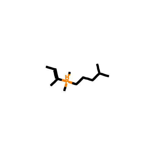 C/C=C(\C)[PH](C)(C)CCCC(C)C